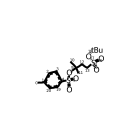 Cc1ccc(S(=O)(=O)OC(C)(C)CCS(=O)(=O)OC(C)(C)C)cc1